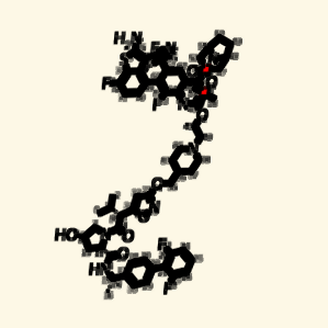 CC(C)[C@@H](C(=O)N1C[C@H](O)C[C@H]1C(=O)N[C@@H](C)c1ccc(-c2c(F)cccc2F)cc1)c1cc(OCC2CCN(CCOc3nc(N4CC5CCC(C4)N5C(=O)OC(C)(C)C)c4cc(C(F)(F)F)c(-c5ccc(F)c6sc(N)c(C#N)c56)c(F)c4n3)CC2)no1